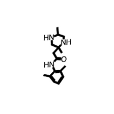 Cc1cccc(C)c1NC(=O)CC1(C)CNC(C)CN1